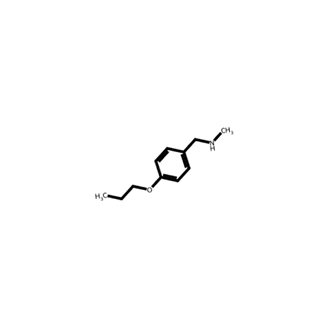 CCCOc1ccc(CNC)cc1